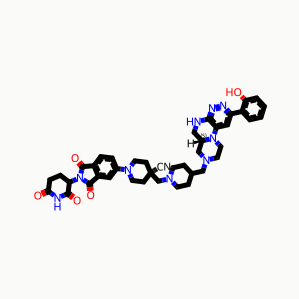 N#CC1(CN2CCC(CN3CCN4c5cc(-c6ccccc6O)nnc5NC[C@H]4C3)CC2)CCN(c2ccc3c(c2)C(=O)N(C2CCC(=O)NC2=O)C3=O)CC1